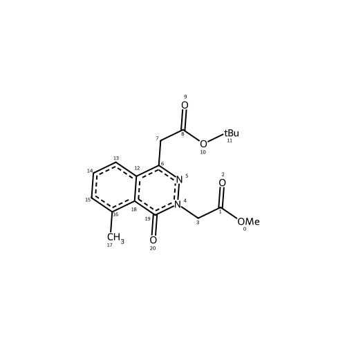 COC(=O)Cn1nc(CC(=O)OC(C)(C)C)c2cccc(C)c2c1=O